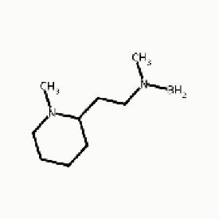 BN(C)CCC1CCCCN1C